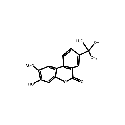 COc1cc2c(cc1O)oc(=O)c1cc(C(C)(C)O)ccc12